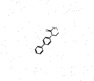 CCN(C(N)=O)c1ccc(-c2cc[c]cc2)cc1